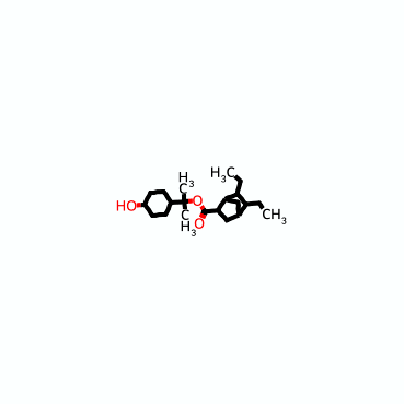 CCC1C2CC(C(=O)OC(C)(C)C3CCC(O)CC3)C(C2)C1CC